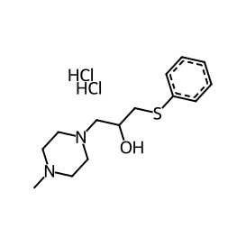 CN1CCN(CC(O)CSc2ccccc2)CC1.Cl.Cl